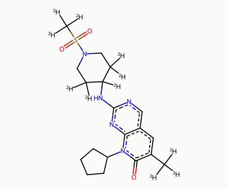 [2H]C([2H])([2H])c1cc2cnc(NC3([2H])C([2H])([2H])CN(S(=O)(=O)C([2H])([2H])[2H])CC3([2H])[2H])nc2n(C2CCCC2)c1=O